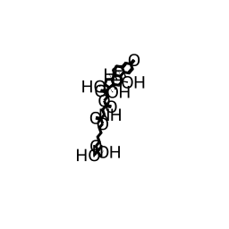 C[C@]12C=CC(=O)C=C1CC[C@H]1[C@@H]3C[C@@H](O)[C@](O)(C(=O)COC(=O)CNC(=O)OCCCCON(O)O)[C@@]3(C)C[C@H](O)[C@@]12F